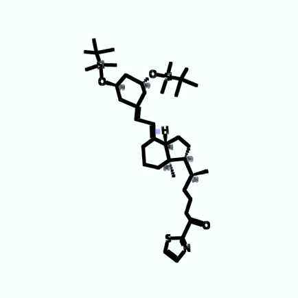 C[C@@H](CCCC(=O)c1nccs1)[C@H]1CC[C@H]2/C(=C/C=C3C[C@@H](O[Si](C)(C)C(C)(C)C)C[C@H](O[Si](C)(C)C(C)(C)C)C3)CCC[C@]12C